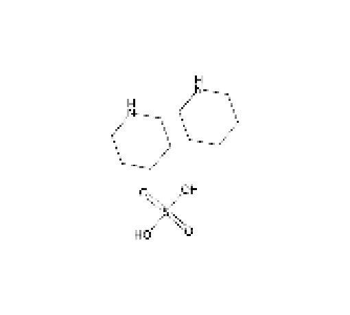 C1CCNCC1.C1CCNCC1.O=S(=O)(O)O